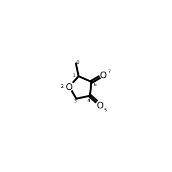 CC1OCC(=O)C1=O